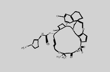 CN1CC[C@H](NC(=O)O[C@H]2/C=C/COC(C)(C)C(=O)NS(=O)(=O)c3ccc4c(c3)N(C[C@@H]3CC[C@H]32)C[C@@]2(CCCc3cc(Cl)ccc32)CO4)C1